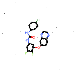 O=C(Nc1ccc(Cl)cc1)Nc1cc(F)c(F)c(Oc2ccc3nccnc3c2)c1